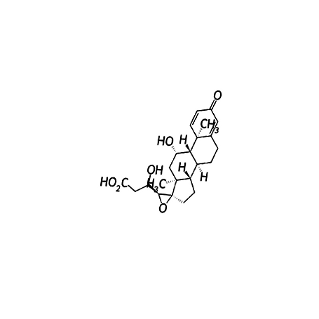 C[C@]12C=CC(=O)C=C1CC[C@@H]1[C@@H]2[C@@H](O)C[C@@]2(C)[C@H]1CC[C@@]21O[C@H]1C(O)CC(=O)O